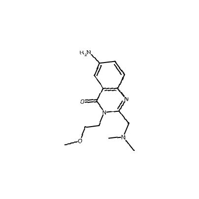 COCCn1c(CN(C)C)nc2ccc(N)cc2c1=O